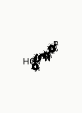 OC1(c2ccccc2)CCN(Cc2cncc(-c3ccc(F)cc3)c2)CC1